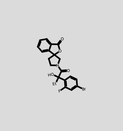 CCC(O)(C(=O)N1CCC2(C1)OC(=O)c1ccccc12)c1ccc(Br)cc1F